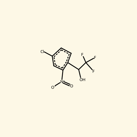 O=[N+]([O-])c1cc(Cl)ccc1C(O)C(F)(F)F